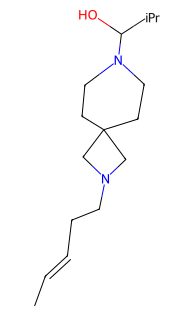 C/C=C/CCN1CC2(CCN(C(O)C(C)C)CC2)C1